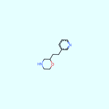 c1cncc(CCC2CNCCO2)c1